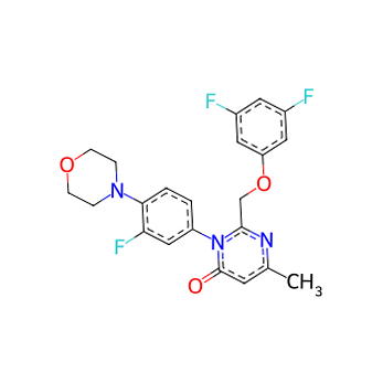 Cc1cc(=O)n(-c2ccc(N3CCOCC3)c(F)c2)c(COc2cc(F)cc(F)c2)n1